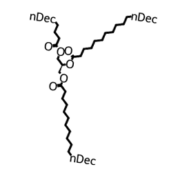 CCCCCCCCCCCCCCCCCCCCC(=O)OC[C@@H](COC(=O)CCCCCCCCCCCCC)OC(=O)CCCCCCCCCCCCCCCCCCCC